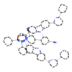 N#Cc1cccc(-c2c(-n3c4cc(-c5cccc(-c6ccccc6)n5)ccc4c4ccc(-c5cccc(-c6ccccc6)n5)cc43)cc(C#N)cc2-n2c3cc(-c4cccc(-c5ccccc5)n4)ccc3c3ccc(-c4cccc(-c5ccccc5)n4)cc32)c1